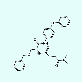 CN(C)C(=O)CCC(=O)NC(COCc1ccccc1)C(=O)Nc1ccc(Oc2ccccc2)cc1